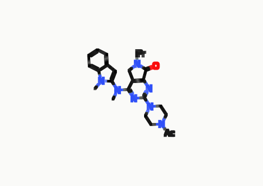 CC(=O)N1CCN(c2nc3c(c(N(C)c4cc5ccccc5n4C)n2)CN(C(C)C)C3=O)CC1